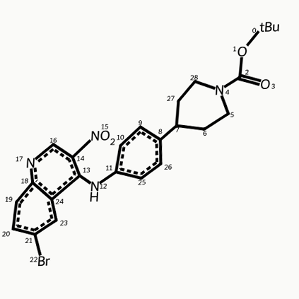 CC(C)(C)OC(=O)N1CCC(c2ccc(Nc3c([N+](=O)[O-])cnc4ccc(Br)cc34)cc2)CC1